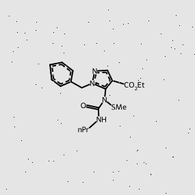 CCCNC(=O)N(SC)c1c(C(=O)OCC)cnn1Cc1ccccc1